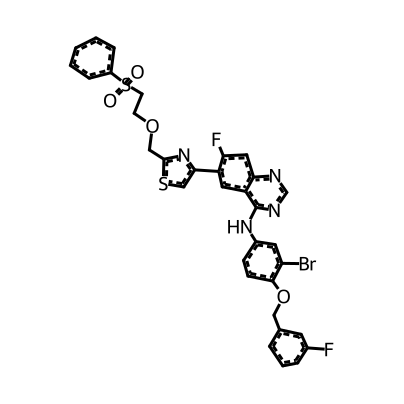 O=S(=O)(CCOCc1nc(-c2cc3c(Nc4ccc(OCc5cccc(F)c5)c(Br)c4)ncnc3cc2F)cs1)c1ccccc1